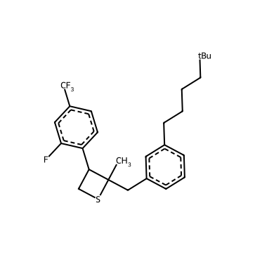 CC(C)(C)CCCCc1cccc(CC2(C)SCC2c2ccc(C(F)(F)F)cc2F)c1